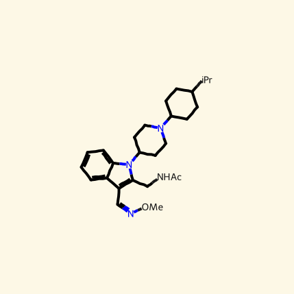 CO/N=C\c1c(CNC(C)=O)n(C2CCN(C3CCC(C(C)C)CC3)CC2)c2ccccc12